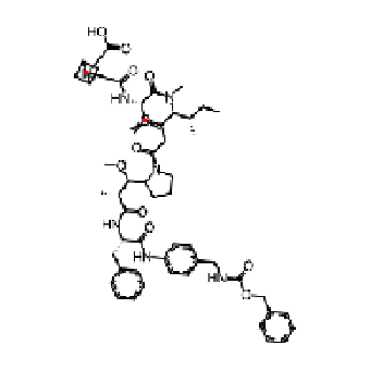 CC[C@H](C)[C@@H]([C@@H](CC(=O)N1CCC[C@H]1[C@H](OC)[C@@H](C)C(=O)N[C@@H](Cc1ccccc1)C(=O)Nc1ccc(CNC(=O)OCc2ccccc2)cc1)OC)N(C)C(=O)[C@@H](NC(=O)C1C2CC(C2)N1C(=O)O)C(C)C